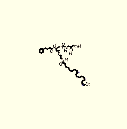 CC/C=C\C/C=C\C/C=C\C/C=C\C/C=C\CCCC(=O)NCCSSCC(COC(=O)NCC(O)CO)NC(=O)CCCc1ccccc1